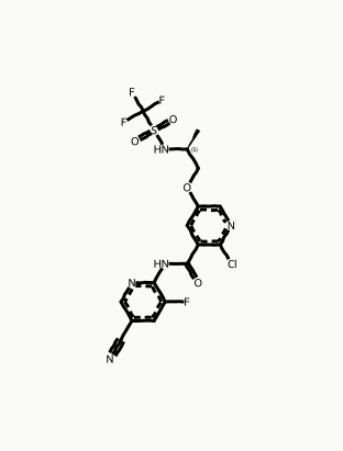 C[C@@H](COc1cnc(Cl)c(C(=O)Nc2ncc(C#N)cc2F)c1)NS(=O)(=O)C(F)(F)F